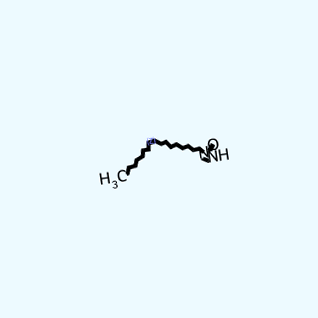 CCCCCCCC/C=C\CCCCCCCCN1CCNC1=O